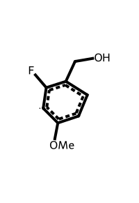 COc1[c]c(F)c(CO)cc1